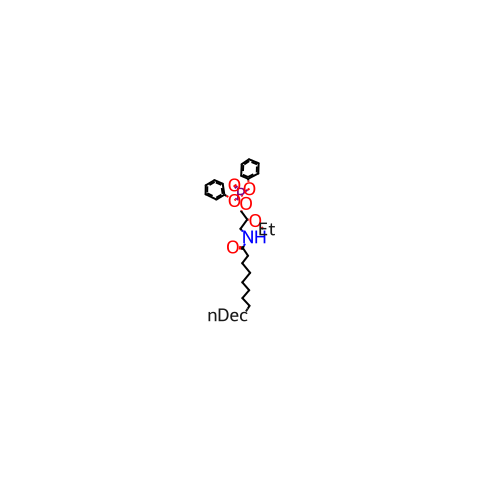 CCCCCCCCCCCCCCCCCC(=O)NCC(COP(=O)(Oc1ccccc1)Oc1ccccc1)OCC